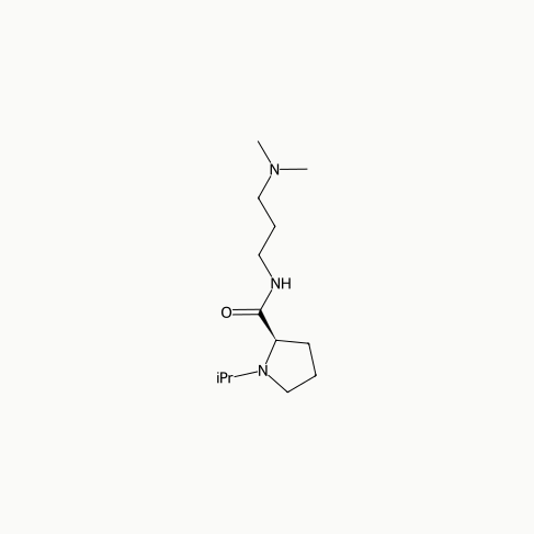 CC(C)N1CCC[C@@H]1C(=O)NCCCN(C)C